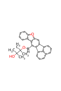 CC(C)(O)C(C)(C)OBc1c2c(cc3oc4ccccc4c13)-c1cccc3cccc-2c13